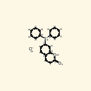 O=c1ccc2ccc([S+](c3ccccc3)c3ccccc3)cc2o1.[Cl-]